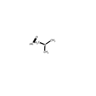 CN(C)C.[CH]=O